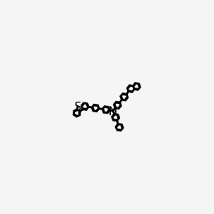 c1ccc(-c2ccc(N(c3ccc(-c4ccc(-c5ccc6ccccc6c5)cc4)cc3)c3ccc(-c4ccc(-c5ccc6sc7ccccc7c6c5)cc4)cc3)cc2)cc1